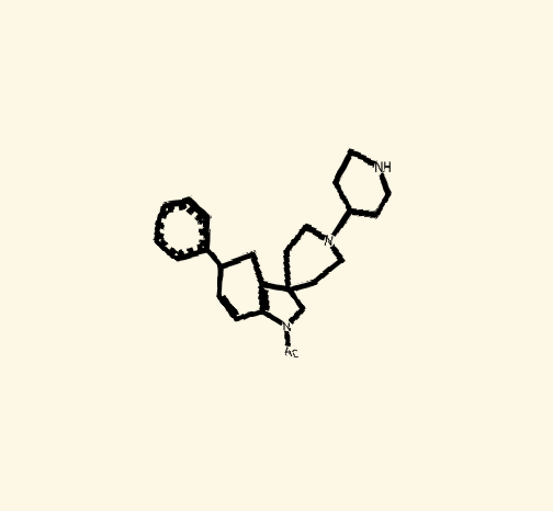 CC(=O)N1CC2(CCN(C3CCNCC3)CC2)C2=C1C=CC(c1ccccc1)C2